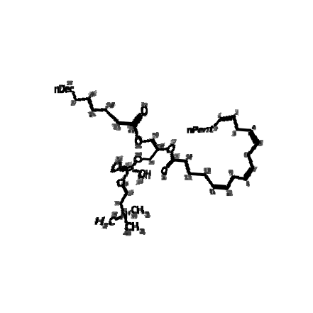 CCCCC/C=C\C/C=C\C/C=C\C/C=C\CCCC(=O)OC(COC(=O)CCCCCCCCCCCCCCC)COP(=O)(O)OCC[N+](C)(C)C